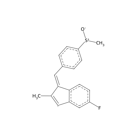 CC1=[C]c2cc(F)ccc2C1=Cc1ccc([S+](C)[O-])cc1